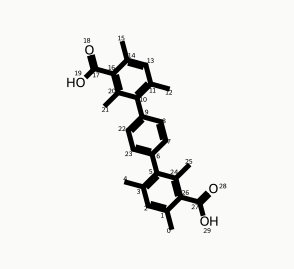 Cc1cc(C)c(-c2ccc(-c3c(C)cc(C)c(C(=O)O)c3C)cc2)c(C)c1C(=O)O